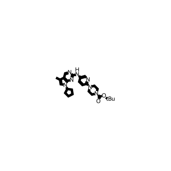 Cc1cn(C2CCCC2)c2nc(Nc3ccc(N4CCN(C(=O)OC(C)(C)C)CC4)nc3)ncc12